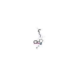 C=CCN1CC[C@@]23c4c5ccc(O)c4C[C@@H]1[C@@H]2CC[C@@H](N(C)C(=O)/C=C/c1cc(Br)cs1)[C@@H]3O5